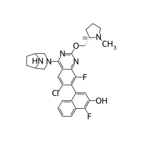 CN1CCC[C@H]1COc1nc(N2CC3CCC(C2)N3)c2cc(Cl)c(-c3cc(O)c(F)c4ccccc34)c(F)c2n1